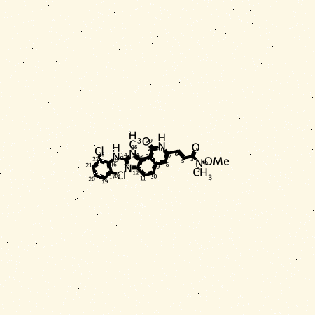 CON(C)C(=O)C=Cc1cc2ccc3nc(Nc4c(Cl)cccc4Cl)n(C)c3c2c(=O)[nH]1